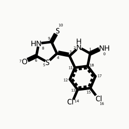 N=C1N/C(=C2/SC(=O)NC2=S)c2cc(Cl)c(Cl)cc21